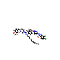 CCCCCCCCCCCCCCCCN(CC(=O)N1CCN(Cc2ccc3c(c2)OCO3)CC1)c1ccc(Oc2ccc(NC(=O)c3ccc(Cl)c(Cl)c3)cn2)c(OC)c1